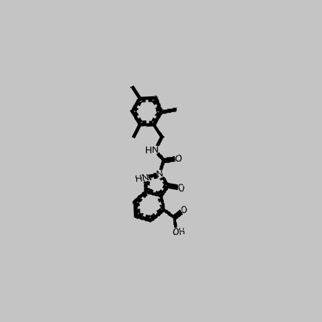 Cc1cc(C)c(CNC(=O)n2[nH]c3cccc(C(=O)O)c3c2=O)c(C)c1